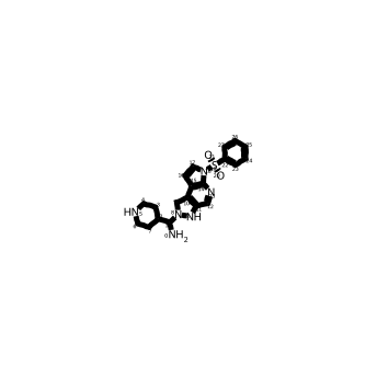 NC(C1CCNCC1)N1Cc2c(cnc3c2ccn3S(=O)(=O)c2ccccc2)N1